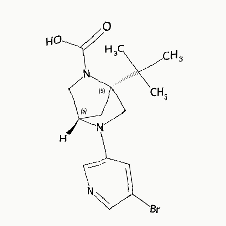 CC(C)(C)[C@]12C[C@@H](CN1C(=O)O)N(c1cncc(Br)c1)C2